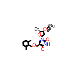 CC[C@H]1O[C@@H](n2cc(COCc3c(C)cccc3C)c(=O)[nH]c2=O)CC1O[Si](C)(C)C(C)(C)C